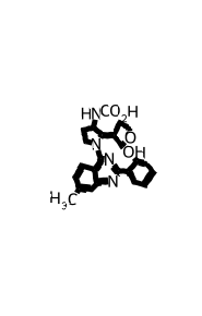 Cc1ccc2c(N3CCC(NC(=O)O)C3C3CCOC3)nc(-c3ccccc3O)nc2c1